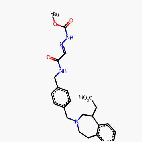 CC(C)(C)OC(=O)NN=CC(=O)NCc1ccc(CN2CCc3ccccc3C(CC(=O)O)C2)cc1